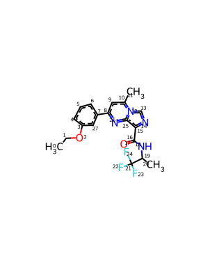 CCOc1cccc(-c2cc(C)n3cnc(C(=O)NC(C)C(F)(F)F)c3n2)c1